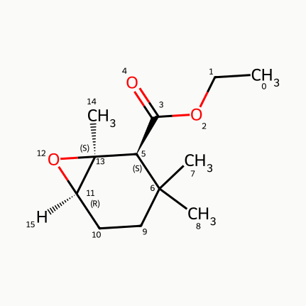 CCOC(=O)[C@H]1C(C)(C)CC[C@H]2O[C@]21C